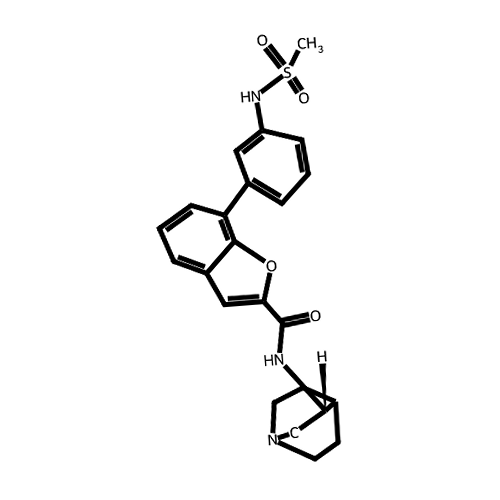 CS(=O)(=O)Nc1cccc(-c2cccc3cc(C(=O)N[C@H]4CN5CCC4CC5)oc23)c1